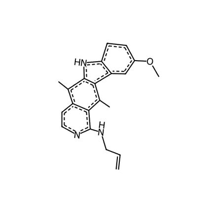 C=CCNc1nccc2c(C)c3[nH]c4ccc(OC)cc4c3c(C)c12